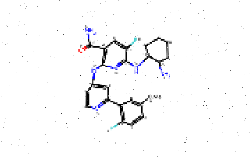 COc1ccc(F)c(-c2cc(Nc3nc(NC4CCCCC4N)c(F)cc3C(N)=O)ccn2)c1